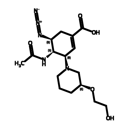 CC(=O)N[C@@H]1[C@@H](N=[N+]=[N-])CC(C(=O)O)=C[C@H]1N1CCC[C@H](OCCO)C1